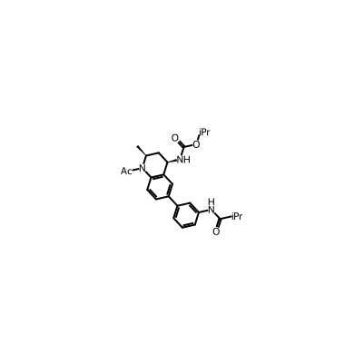 CC(=O)N1c2ccc(-c3cccc(NC(=O)C(C)C)c3)cc2[C@H](NC(=O)OC(C)C)C[C@@H]1C